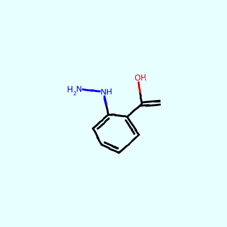 C=C(O)c1ccccc1NN